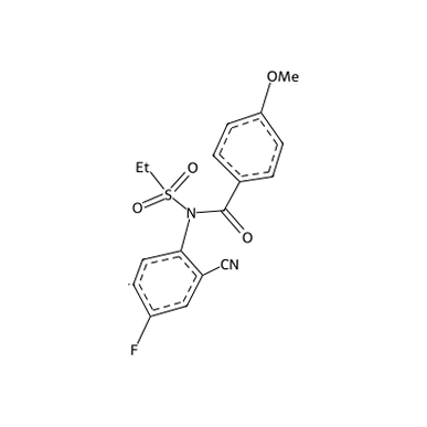 CCS(=O)(=O)N(C(=O)c1ccc(OC)cc1)c1c[c]c(F)cc1C#N